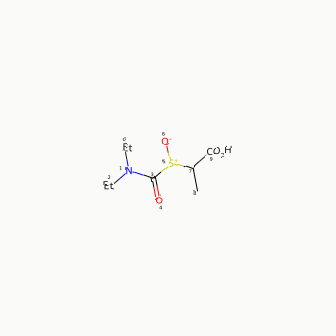 CCN(CC)C(=O)[S+]([O-])C(C)C(=O)O